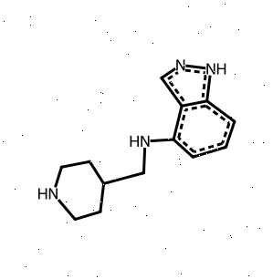 c1cc(NCC2CCNCC2)c2cn[nH]c2c1